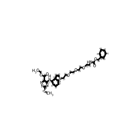 CCOC(=O)c1nnc(SC)nc1Nc1cccc2c1ccn2CCOCCOCCOCCNC(=O)OCc1ccccc1